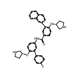 O=C(Nc1ccc(O[C@H]2CCNC2)c(-c2ccc(F)cc2)c1)c1ccc(O[C@H]2CCNC2)c(-c2ccc3ccccc3c2)c1